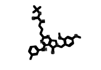 COc1ccc(CN2Cc3nc(CCCNC(=O)OC(C)(C)C)nc(Nc4cccc(C)c4)c3C2=O)c(OC)c1